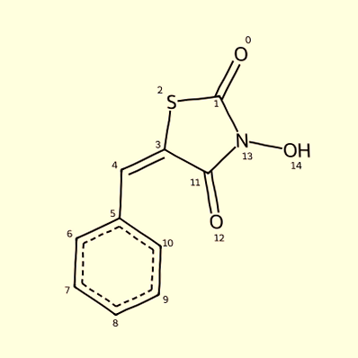 O=C1SC(=Cc2ccccc2)C(=O)N1O